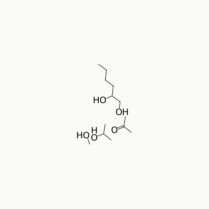 CC(C)=O.CC(C)O.CCCCC(O)CO.CO